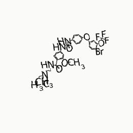 CCN(CC)CCNC(=O)c1ccc(NC(=O)Nc2ccc(Oc3ccc(Br)c(OC(F)(F)F)c3)cc2)cc1OC